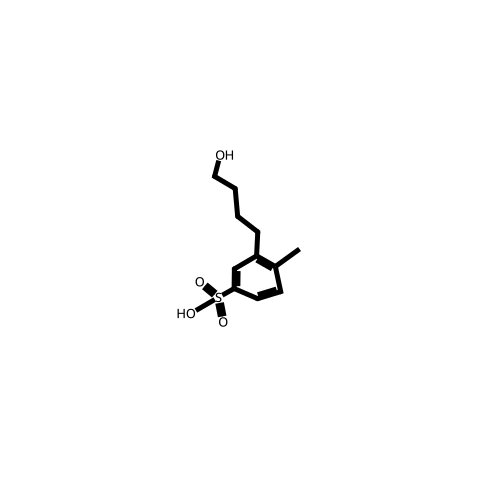 Cc1ccc(S(=O)(=O)O)cc1CCCCO